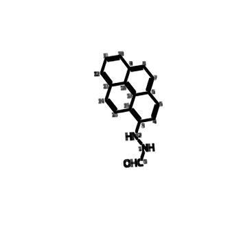 O=CNNc1ccc2ccc3cccc4ccc1c2c34